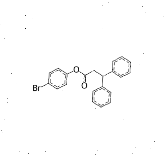 O=C(CC(c1ccccc1)c1ccccc1)Oc1ccc(Br)cc1